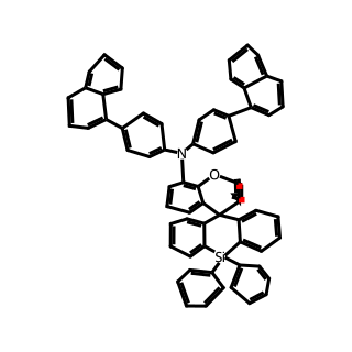 c1ccc([Si]2(c3ccccc3)c3ccccc3C3(c4ccccc4Oc4c(N(c5ccc(-c6cccc7ccccc67)cc5)c5ccc(-c6cccc7ccccc67)cc5)cccc43)c3ccccc32)cc1